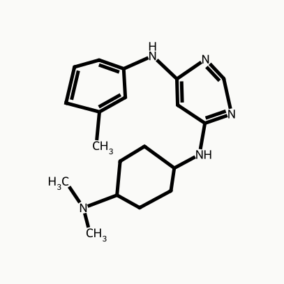 Cc1cccc(Nc2cc(NC3CCC(N(C)C)CC3)ncn2)c1